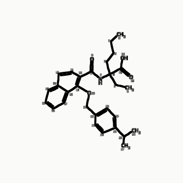 CCCCC(CC)(NC(=O)c1ccc2ccccc2c1OCc1ccc(C(C)C)cc1)C(=O)O